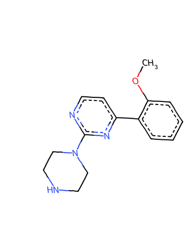 COc1ccccc1-c1ccnc(N2CCNCC2)n1